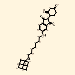 O=C1CCC(N2C(=O)c3ccc(NCCCCCCCNC45CC6CC7CC(C4)C765)cc3C2=O)C(=O)C1